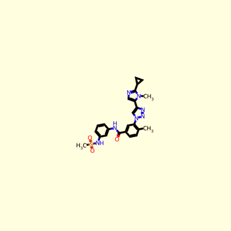 Cc1ccc(C(=O)Nc2cccc(NS(C)(=O)=O)c2)cc1-n1cc(-c2cnc(C3CC3)n2C)nn1